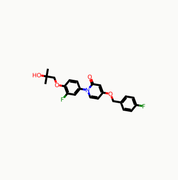 CC(C)(O)COc1ccc(-n2ccc(OCc3ccc(F)cc3)cc2=O)cc1F